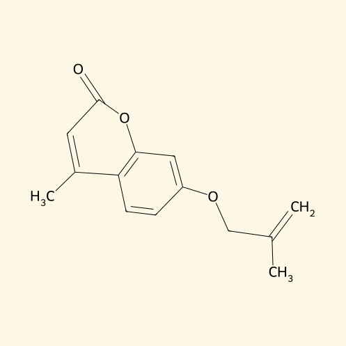 C=C(C)COc1ccc2c(C)cc(=O)oc2c1